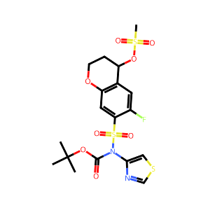 CC(C)(C)OC(=O)N(c1cscn1)S(=O)(=O)c1cc2c(cc1F)C(OS(C)(=O)=O)CCO2